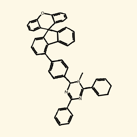 CN1C(C2=CCCC=C2)=NC(c2ccccc2)=NC1c1ccc(-c2cccc3c2-c2ccccc2C32c3ccccc3Oc3ccccc32)cc1